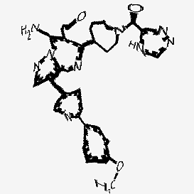 COc1ccc(-c2ccc(-c3cnn4c(N)c(C=O)c(C5CCN(C(=O)c6nnc[nH]6)CC5)nc34)cn2)cc1